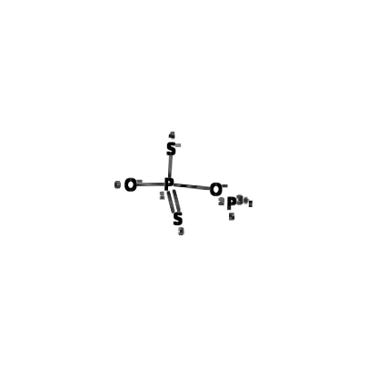 [O-]P([O-])(=S)[S-].[P+3]